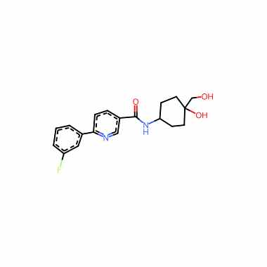 O=C(NC1CCC(O)(CO)CC1)c1ccc(-c2cccc(F)c2)nc1